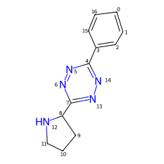 c1ccc(-c2nnc(C3CCCN3)nn2)cc1